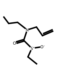 C=CCN(CCC)C(=O)[S+]([O-])CC